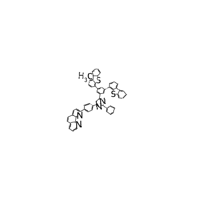 CC12C=CC=CC1Sc1c(-c3cc(-c4cc(-c5ccc(-c6ccc7ccc8cccnc8c7n6)cc5)nc(-c5ccccc5)n4)cc(-c4cccc5c4sc4ccccc45)c3)cccc12